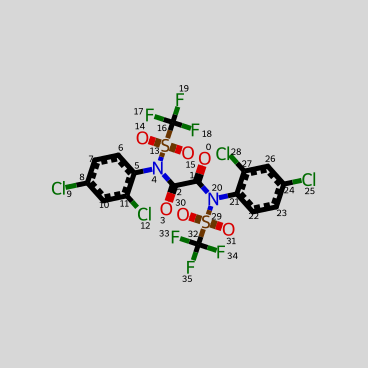 O=C(C(=O)N(c1ccc(Cl)cc1Cl)S(=O)(=O)C(F)(F)F)N(c1ccc(Cl)cc1Cl)S(=O)(=O)C(F)(F)F